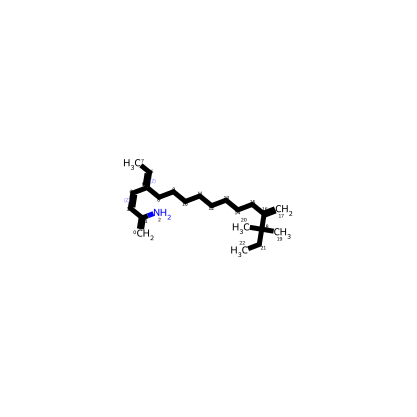 C=C(N)/C=C\C(=C/C)CCCCCCCCC(=C)C(C)(C)CC